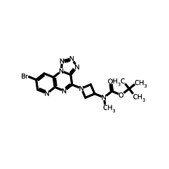 CN(C(=O)OC(C)(C)C)C1CN(c2nc3ncc(Br)cc3n3nnnc23)C1